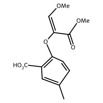 COC=C(Oc1ccc(C)cc1C(=O)O)C(=O)OC